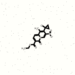 CCOC(=O)c1ccc2c(C)c(C3(Cl)CC3)c([N+](=O)[O-])cn2c1=O